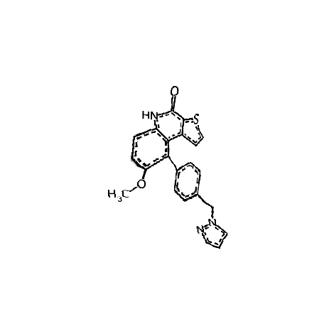 COc1ccc2[nH]c(=O)c3sccc3c2c1-c1ccc(Cn2cccn2)cc1